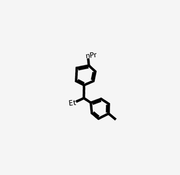 CCCc1ccc(C(CC)c2ccc(C)cc2)cc1